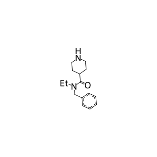 CCN(Cc1ccccc1)C(=O)C1CCNCC1